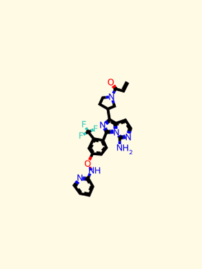 C=CC(=O)N1CCC(c2nc(-c3ccc(ONc4ccccn4)cc3C(F)(F)F)n3c(N)nccc23)C1